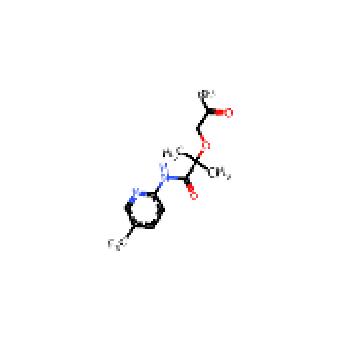 CC(C)(C)C(=O)COC(C)(C)C(=O)Nc1ccc(C(F)(F)F)cn1